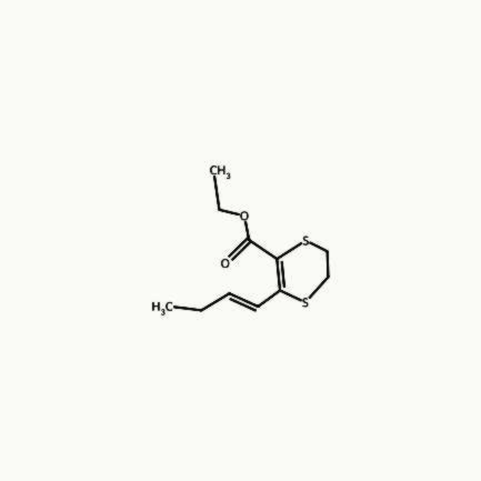 CCC=CC1=C(C(=O)OCC)SCCS1